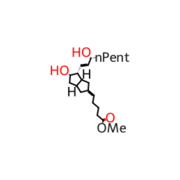 CCCCC[C@@H](O)C=C[C@@H]1[C@H]2CC(=CCCCC(=O)OC)C[C@@H]2C[C@H]1O